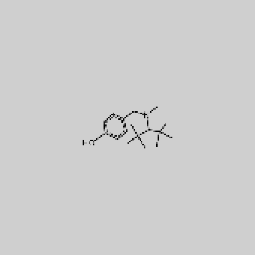 CN(Cc1ccc(O)cc1)C(C(C)(C)C)C(C)(C)C